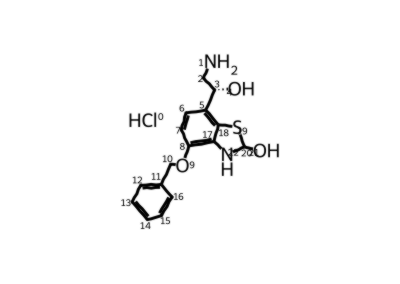 Cl.NC[C@H](O)c1ccc(OCc2ccccc2)c2c1SC(O)N2